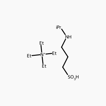 CC(C)NCCCS(=O)(=O)O.CC[N+](CC)(CC)CC